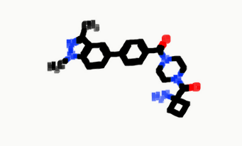 Cc1nn(C)c2ccc(-c3ccc(C(=O)N4CCN(C(=O)C5(N)CCC5)CC4)cc3)cc12